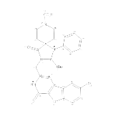 CC(C)(C)C1N(Cc2nc3c(oc4ccc(Br)cc43)c(=O)[nH]2)C(=O)C2(CCN(C(=O)O)CC2)N1c1ccccc1